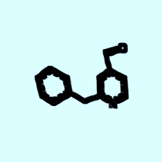 O=Cc1ccnc(Cc2ccccc2)c1